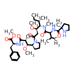 CC[C@H](C)[C@@H]([C@@H](CC(=O)N1CCC[C@H]1[C@H](OC)[C@@H](C)C(=O)N[C@@H](Cc1ccccc1)C(=O)OC)OC)N(C)C(=O)C(NC(=O)[C@@]1(C)CCCN1)C(C)C